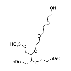 CCCCCCCCCCCCOC(CCCCCCCCCCC)C(COS(=O)(=O)O)OCCOCCOCCO